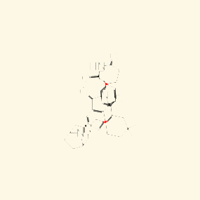 CC1(C)CCC(CN2CC3CCC(C2)N3c2ccc3c(c2)C(=O)N(C2CCC(=O)NC2=O)C3=O)=C(c2ccc(F)cc2)C1